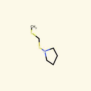 CSCSN1CCCC1